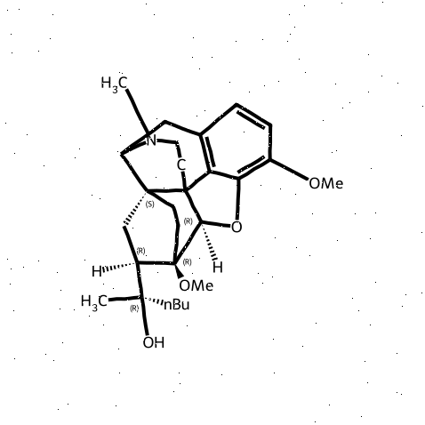 CCCC[C@@](C)(O)[C@H]1C[C@@]23CC[C@]1(OC)[C@@H]1Oc4c(OC)ccc5c4C12CCN(C)C3C5